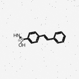 N=[S@](O)c1ccc(C=Cc2ccccc2)cc1